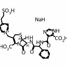 O=C(O)C1=C(C[n+]2ccc(CCS(=O)(=O)O)cc2)CS[C@@H]2[C@H](NC(=O)C(NC(=O)c3nc[nH]c3C(=O)O)c3ccccc3)C(=O)N12.[NaH]